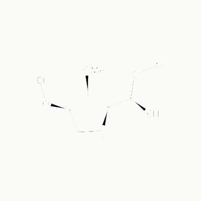 CCO[C@@H]1CO[C@H]([C@H](C)SC(C)=O)[C@@H]1OC